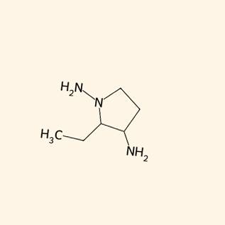 CCC1C(N)CCN1N